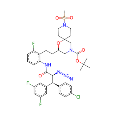 CC(C)(C)OC(=O)N1CC(CCc2c(F)cccc2NC(=O)[C@@H](N=[N+]=[N-])[C@@H](c2ccc(Cl)cc2)c2cc(F)cc(F)c2)OC2(CCN(S(C)(=O)=O)CC2)C1